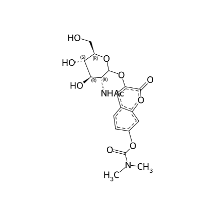 CC(=O)N[C@H]1C(Oc2cc3ccc(OC(=O)N(C)C)cc3oc2=O)O[C@H](CO)[C@@H](O)[C@@H]1O